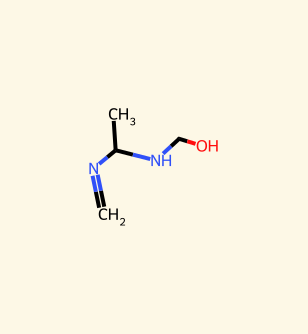 C=NC(C)NCO